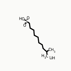 CC(C)CCCCCCCCS(=O)(=O)O.[LiH]